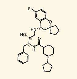 CCc1ccc2c(c1)[C@@H](NC[C@@H](O)[C@H](Cc1ccccc1)NC(=O)C1CCCN(C3CCCC3)C1)CC1(CCCC1)O2